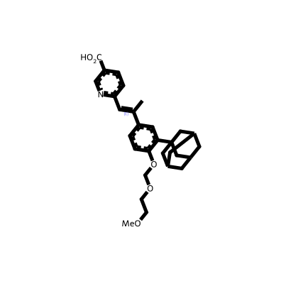 COCCOCOc1ccc(/C(C)=C/c2ccc(C(=O)O)cn2)cc1C12CC3CC(CC(C3)C1)C2